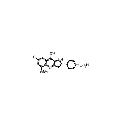 CNc1cc(F)cc2c(O)c3[nH]c(-c4ccc(C(=O)O)cc4)cc3nc12